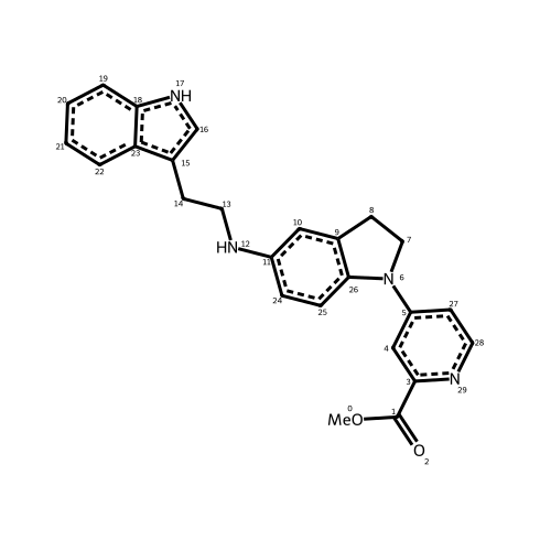 COC(=O)c1cc(N2CCc3cc(NCCc4c[nH]c5ccccc45)ccc32)ccn1